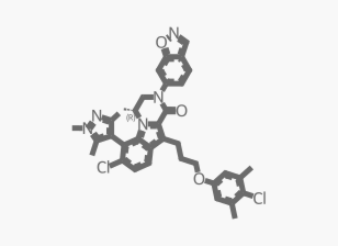 Cc1cc(OCCCc2c3n(c4c(-c5c(C)nn(C)c5C)c(Cl)ccc24)[C@H](C)CN(c2ccc4cnoc4c2)C3=O)cc(C)c1Cl